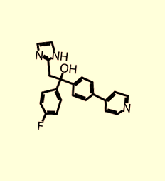 OC(Cc1ncc[nH]1)(c1ccc(F)cc1)c1ccc(-c2ccncc2)cc1